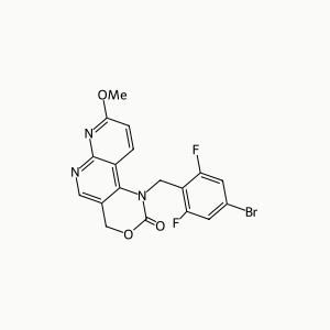 COc1ccc2c3c(cnc2n1)COC(=O)N3Cc1c(F)cc(Br)cc1F